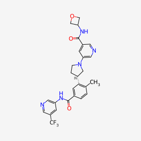 Cc1ccc(C(=O)Nc2cncc(C(F)(F)F)c2)cc1[C@@H]1CCN(c2cncc(C(=O)NC3COC3)c2)C1